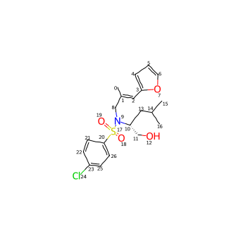 CC(=Cc1ccco1)CN([C@@H](CO)CC(C)C)S(=O)(=O)c1ccc(Cl)cc1